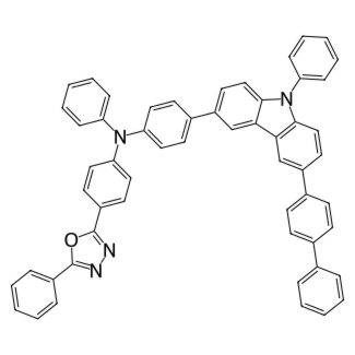 c1ccc(-c2ccc(-c3ccc4c(c3)c3cc(-c5ccc(N(c6ccccc6)c6ccc(-c7nnc(-c8ccccc8)o7)cc6)cc5)ccc3n4-c3ccccc3)cc2)cc1